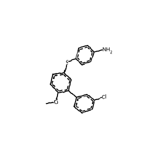 COc1ccc(Sc2ccc(N)cc2)cc1-c1cccc(Cl)c1